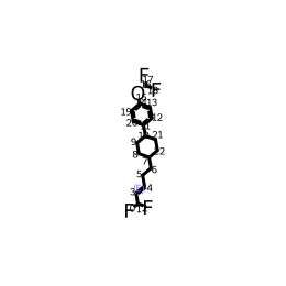 FC(F)/C=C/CCC1CCC(c2ccc(OC(F)F)cc2)CC1